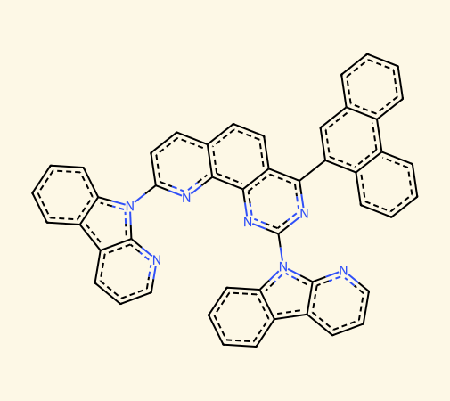 c1ccc2c(c1)cc(-c1nc(-n3c4ccccc4c4cccnc43)nc3c1ccc1ccc(-n4c5ccccc5c5cccnc54)nc13)c1ccccc12